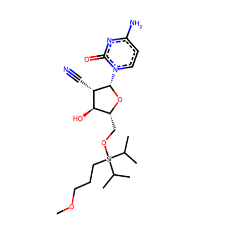 COCCC[Si](OC[C@H]1O[C@@H](n2ccc(N)nc2=O)[C@@H](C#N)[C@@H]1O)(C(C)C)C(C)C